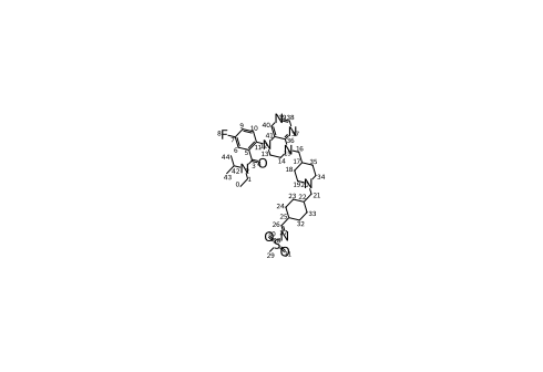 CCN(C(=O)c1cc(F)ccc1N1CCN(CC2CCN(CC3CCC(/C=N/S(C)(=O)=O)CC3)CC2)c2ncncc21)C(C)C